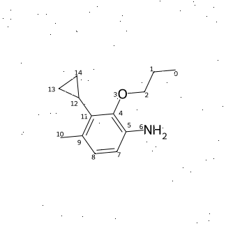 CCCOc1c(N)ccc(C)c1C1CC1